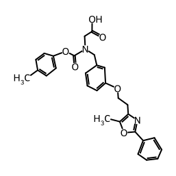 Cc1ccc(OC(=O)N(CC(=O)O)Cc2cccc(OCCc3nc(-c4ccccc4)oc3C)c2)cc1